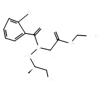 CC(C)C[C@H](NN(C(=O)c1ccccc1N)[C@@H](C)C(=O)NCC(=O)O)C(=O)O